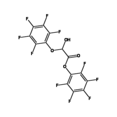 O=C(Oc1c(F)c(F)c(F)c(F)c1F)C(O)Oc1c(F)c(F)c(F)c(F)c1F